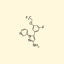 Nc1cc(-c2cc(F)cc(OCC(F)(F)F)c2)n(-c2cccnc2)n1